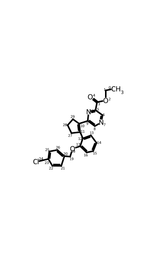 CCOC(=O)c1cncc(C2=C(c3ccccc3OCc3ccc(Cl)cc3)CCC2)n1